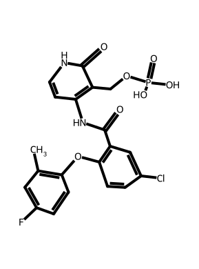 Cc1cc(F)ccc1Oc1ccc(Cl)cc1C(=O)Nc1cc[nH]c(=O)c1COP(=O)(O)O